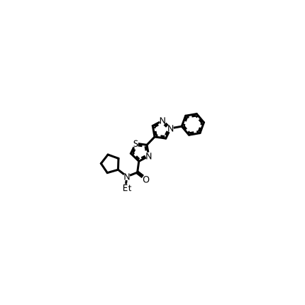 CCN(C(=O)c1csc(-c2cnn(-c3ccccc3)c2)n1)C1CCCC1